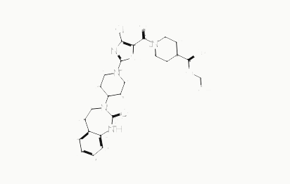 CCOC(=O)C1CCN(C(=O)c2sc(N3CCC(N4CCc5ccccc5NC4=O)CC3)nc2C)CC1